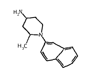 CC1CC(N)CCN1c1ccc2ccccc2c1